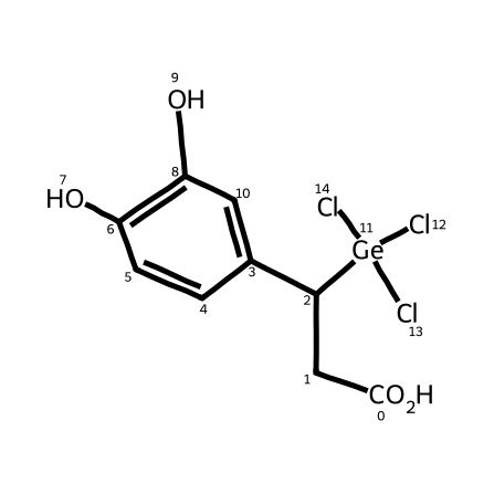 O=C(O)C[CH](c1ccc(O)c(O)c1)[Ge]([Cl])([Cl])[Cl]